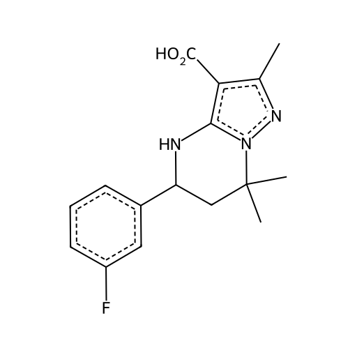 Cc1nn2c(c1C(=O)O)NC(c1cccc(F)c1)CC2(C)C